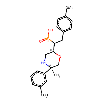 COc1ccc(CC([C@H]2CN[C@](C)(c3cccc(C(=O)O)c3)CO2)[PH](=O)O)cc1